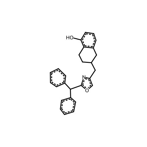 Oc1cccc2c1CCC(Cc1coc(C(c3ccccc3)c3ccccc3)n1)C2